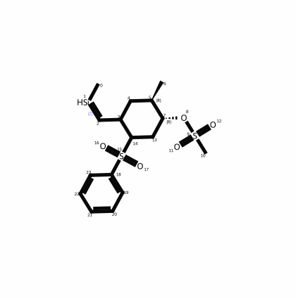 C/[SiH]=C\C1C[C@@H](C)[C@H](OS(C)(=O)=O)CC1S(=O)(=O)c1ccccc1